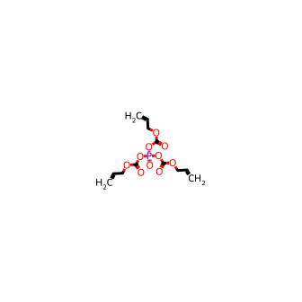 C=CCOC(=O)OP(=O)(OC(=O)OCC=C)OC(=O)OCC=C